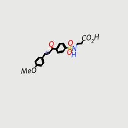 COc1ccc(/C=C/C(=O)c2ccc(S(=O)(=O)NCCC(=O)O)cc2)cc1